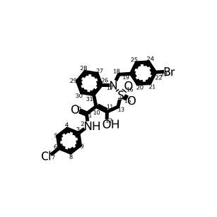 O=C(Nc1ccc(Cl)cc1)C1=C(O)CS(=O)(=O)N(Cc2ccc(Br)cc2)c2ccccc21